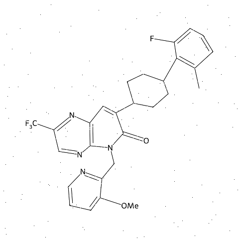 COc1cccnc1Cn1c(=O)c(C2CCC(c3c(C)cccc3F)CC2)cc2nc(C(F)(F)F)cnc21